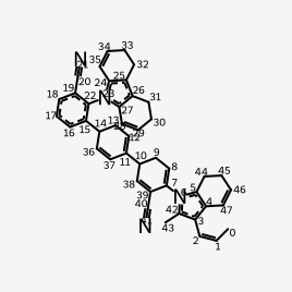 C/C=C\c1c2c(n(C3=CCC(C4=CCC(c5cccc(C#N)c5-n5c6c(c7c5C=CCC7)CCC=C6)C=C4)C=C3C#N)c1C)CCC=C2